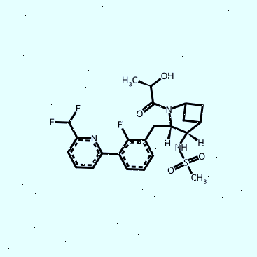 C[C@@H](O)C(=O)N1C2CC(C2)[C@H](NS(C)(=O)=O)[C@@H]1Cc1cccc(-c2cccc(C(F)F)n2)c1F